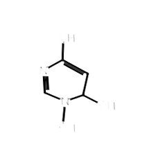 CC1=CC(C)N(C)C=N1